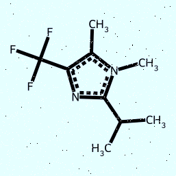 Cc1c(C(F)(F)F)nc(C(C)C)n1C